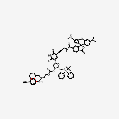 C#Cc1ccc(CN(CCOC(=O)O[C@H]2C[C@H](n3cc(C#CCNC(=O)c4ccc5c(c4)C4(OC5=O)c5ccc(N(C)C)cc5Oc5cc(N(C)C)ccc54)c(=O)[nH]c3=O)O[C@@H]2CO[Si](c2ccccc2)(c2ccccc2)C(C)(C)C)CC2CCCCN2C(=O)O)cc1